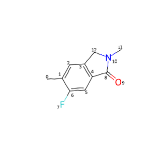 Cc1cc2c(cc1F)C(=O)N(C)C2